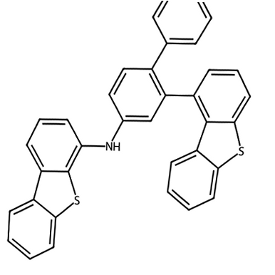 c1ccc(-c2ccc(Nc3cccc4c3sc3ccccc34)cc2-c2cccc3sc4ccccc4c23)cc1